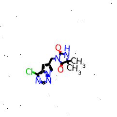 CC1(C)NC(=O)N(Cc2cc3c(Cl)ncnn3c2)C1=O